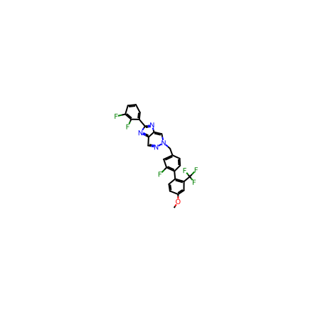 COc1ccc(-c2ccc(Cn3cc4nc(-c5cccc(F)c5F)nc-4cn3)cc2F)c(C(F)(F)F)c1